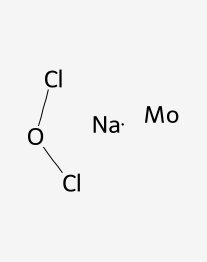 ClOCl.[Mo].[Na]